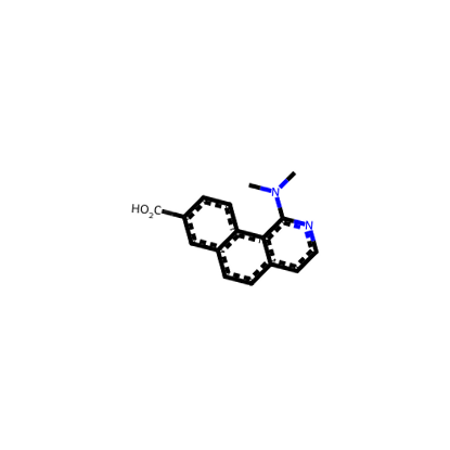 CN(C)c1nccc2ccc3cc(C(=O)O)ccc3c12